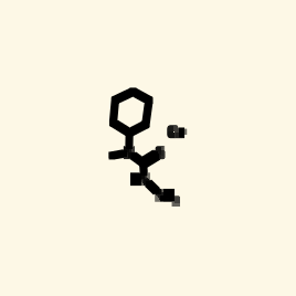 CN(C(=S)NN)C1CCCCC1.[Cu]